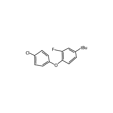 CC(C)(C)c1ccc(Oc2ccc(Cl)cc2)c(F)c1